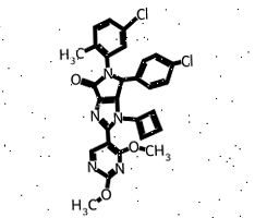 COc1ncc(-c2nc3c(n2C2=CC=C2)C(c2ccc(Cl)cc2)N(c2cc(Cl)ccc2C)C3=O)c(OC)n1